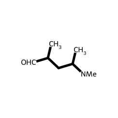 CNC(C)CC(C)C=O